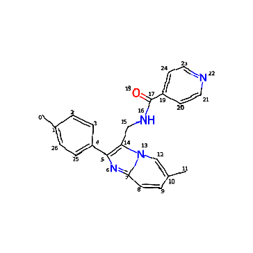 Cc1ccc(-c2nc3ccc(C)cn3c2CNC(=O)c2ccncc2)cc1